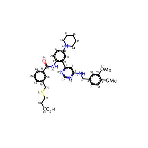 COc1ccc(CNc2cc(-c3cc(N4CCCCC4)ccc3NC(=O)c3cccc(CSCCC(=O)O)c3)ncn2)cc1OC